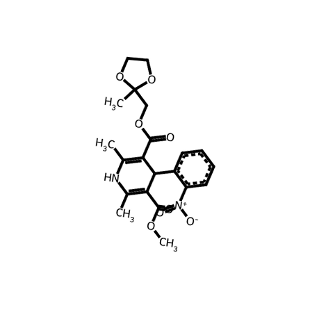 COC(=O)C1=C(C)NC(C)=C(C(=O)OCC2(C)OCCO2)C1c1ccccc1[N+](=O)[O-]